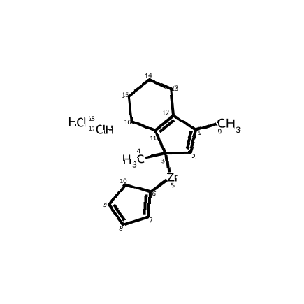 CC1=C[C](C)([Zr][C]2=CC=CC2)C2=C1CCCC2.Cl.Cl